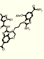 CCn1nc(C)cc1C(=O)Nc1nc2cc(C(N)=O)cc3c2n1[C@@H](CCCn1c(N)nc2cc(C(N)=O)cc(OC)c21)CO3